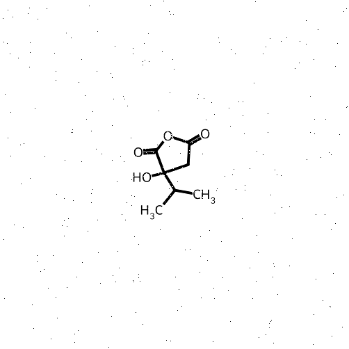 CC(C)C1(O)CC(=O)OC1=O